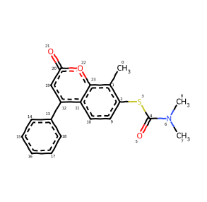 Cc1c(SC(=O)N(C)C)ccc2c(-c3ccccc3)cc(=O)oc12